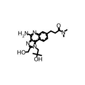 CN(C)C(=O)CCc1ccc2c(c1)nc(N)c1nc(CO)n(CC(C)(C)O)c12